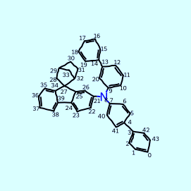 c1ccc(-c2ccc(N(c3cccc(-c4ccccc4)c3)c3ccc4c(c3)C3(CC5CCC3C5)c3ccccc3-4)cc2)cc1